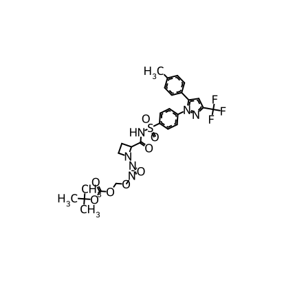 Cc1ccc(-c2cc(C(F)(F)F)nn2-c2ccc(S(=O)(=O)NC(=O)C3CCN3n3on3OCOC(=O)OC(C)(C)C)cc2)cc1